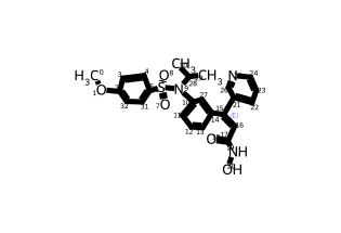 COc1ccc(S(=O)(=O)N(c2cccc(/C(=C\C(=O)NO)c3cccnc3)c2)C(C)C)cc1